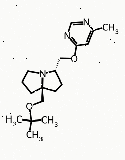 Cc1cc(OC[C@@H]2CC[C@]3(COC(C)(C)C)CCCN23)ncn1